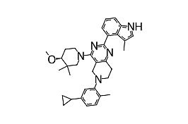 CO[C@H]1CCN(c2nc(-c3cccc4[nH]cc(C)c34)nc3c2CN(c2cc(C4CC4)ccc2C)CC3)CC1(C)C